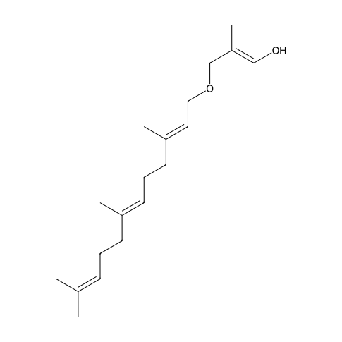 CC(C)=CCC/C(C)=C/CC/C(C)=C/COCC(C)=CO